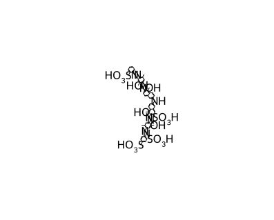 Cc1cc(N=Nc2ccc3cc(Nc4ccc5c(O)c(N=Nc6cc(C)c(N=Nc7ccc(S(=O)(=O)O)cc7S(=O)(=O)O)cc6O)c(S(=O)(=O)O)cc5c4)ccc3c2O)c(O)cc1N=Nc1ccccc1S(=O)(=O)O